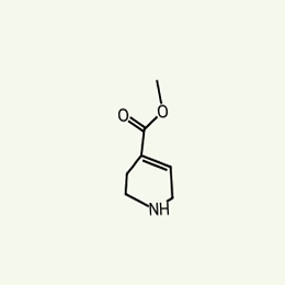 COC(=O)C1=CCNCC1